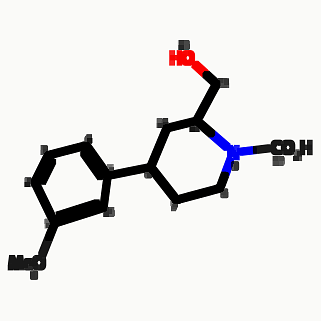 COc1cccc(C2CCN(C(=O)O)C(CO)C2)c1